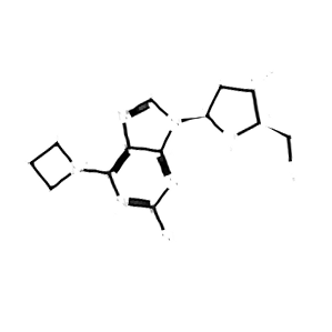 Nc1nc(N2CCC2)c2ncn([C@H]3C[C@H](F)[C@@H](CO)O3)c2n1